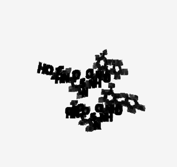 Cc1ccc(NC(=O)Nc2ncc(CC(=O)NCC(=O)O)s2)c(C(=O)C2CCCC2)c1.Cc1ccc(NC(=O)Nc2ncc(CC(=O)NS(C)(=O)=O)s2)c(C(=O)C2CCCC2)c1